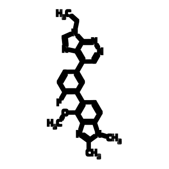 CCn1cnc2c(-c3ccc(F)c(-c4ccc5c(nc(C)n5C)c4OC)c3)cnnc21